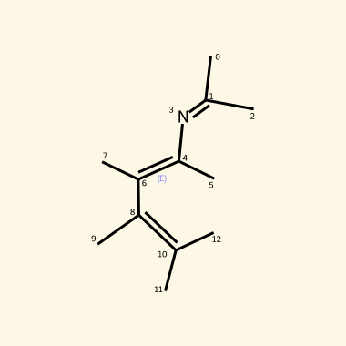 CC(C)=N/C(C)=C(\C)C(C)=C(C)C